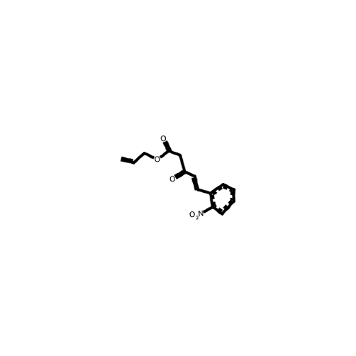 C=CCOC(=O)CC(=O)C=Cc1ccccc1[N+](=O)[O-]